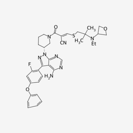 CCN(C1COC1)C(C)(C)CS/C=C(\C#N)C(=O)N1CCC[C@@H](n2nc(-c3ccc(Oc4ccccc4)cc3F)c3c(N)ncnc32)C1